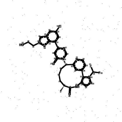 C[C@@H]1CCC[C@H](n2cnc(-c3cc(Cl)cc4cn(CCO)nc34)cc2=O)c2cc(ccn2)-c2c(cnn2C(F)F)NC1=O